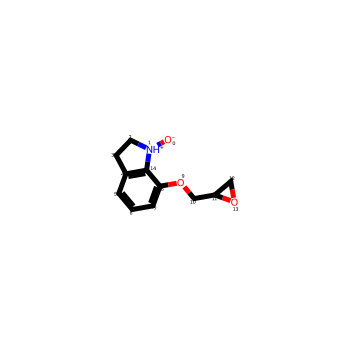 [O-][NH+]1CCc2cccc(OCC3CO3)c21